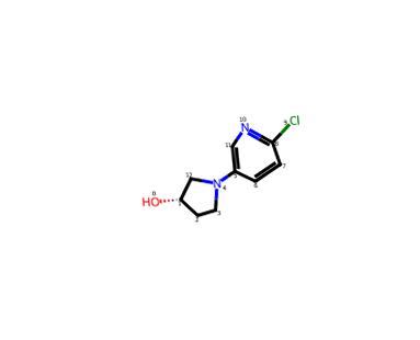 O[C@H]1CCN(c2ccc(Cl)nc2)C1